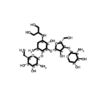 NC[C@H]1O[C@H](O[C@H]2[C@H](O[C@@H]3O[C@H](CO)[C@@H](O[C@H]4OC[C@@H](O)[C@H](O)[C@H]4N)[C@H]3O)[C@@H](O)[C@H](NC(CO)CO)C[C@@H]2N)[C@H](N)[C@H](O)[C@@H]1O